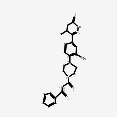 CC1CC(=O)NN=C1c1ccc(N2CCN(C(=S)NC(=O)c3ccccc3)CC2)c([N+](=O)[O-])c1